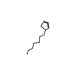 CCCCCCOC1C=C=CC1